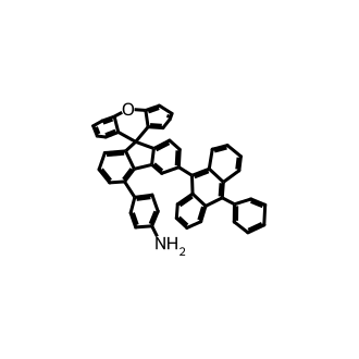 Nc1ccc(-c2cccc3c2-c2cc(-c4c5ccccc5c(-c5ccccc5)c5ccccc45)ccc2C32c3ccccc3Oc3ccccc32)cc1